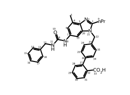 CCCc1nc2c(C)cc(NC(=O)NCc3ccccc3)cc2n1Cc1ccc(-c2ccccc2C(=O)O)cc1